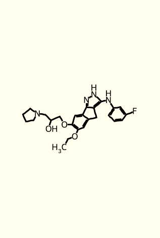 CCOc1cc2c(cc1OCC(O)CN1CCCC1)-c1n[nH]c(Nc3cccc(F)c3)c1C2